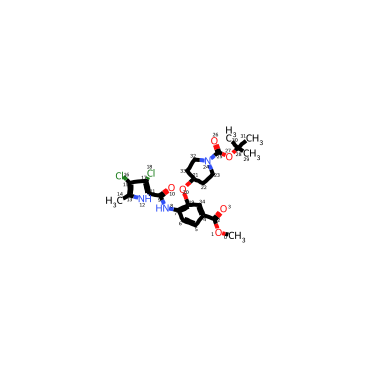 COC(=O)c1ccc(NC(=O)c2[nH]c(C)c(Cl)c2Cl)c(OC2CCN(C(=O)OC(C)(C)C)CC2)c1